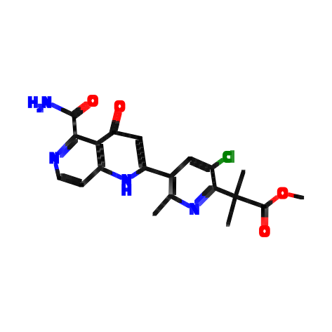 COC(=O)C(C)(C)c1nc(C)c(-c2cc(=O)c3c(C(N)=O)nccc3[nH]2)cc1Cl